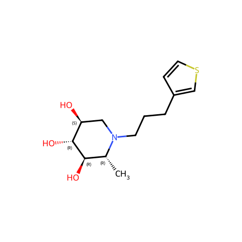 C[C@@H]1[C@@H](O)[C@H](O)[C@@H](O)CN1CCCc1ccsc1